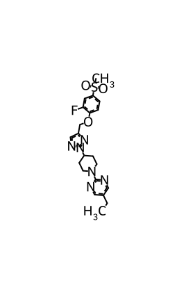 CCc1cnc(N2CCC(n3ncc(COc4ccc(S(C)(=O)=O)cc4F)n3)CC2)nc1